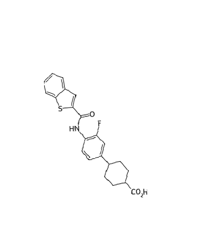 O=C(Nc1ccc(C2CCC(C(=O)O)CC2)cc1F)c1cc2ccccc2s1